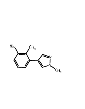 Cc1c(-c2cnn(C)c2)cccc1C(C)(C)C